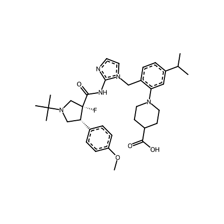 COc1ccc([C@@H]2CN(C(C)(C)C)C[C@@]2(F)C(=O)Nc2nccn2Cc2ccc(C(C)C)cc2N2CCC(C(=O)O)CC2)cc1